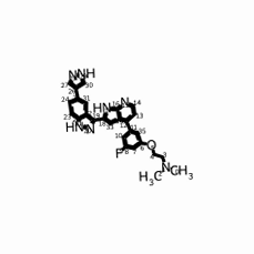 CN(C)CCOc1cc(F)cc(-c2ccnc3[nH]c(-c4n[nH]c5ccc(-c6cn[nH]c6)cc45)cc23)c1